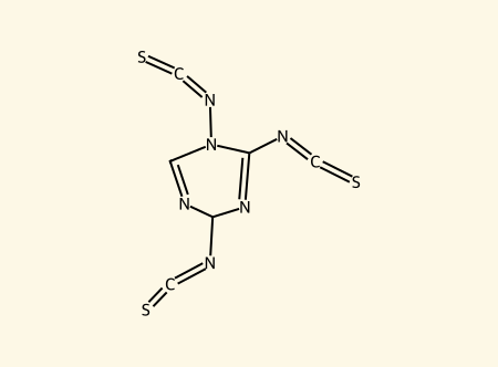 S=C=NC1=NC(N=C=S)N=CN1N=C=S